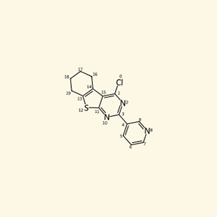 Clc1nc(-c2cccnc2)nc2sc3c(c12)CCCC3